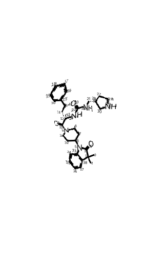 CC1(C)C(=O)N(C2CCN(C(=O)[C@H](CCc3ccccc3)NC(=O)NC[C@@H]3CCNC3)CC2)c2ccccc21